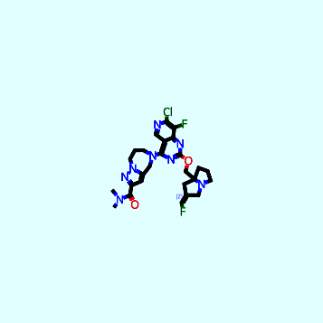 CN(C)C(=O)c1cc2n(n1)CCCN(c1nc(OCC34CCCN3C/C(=C\F)C4)nc3c(F)c(Cl)ncc13)C2